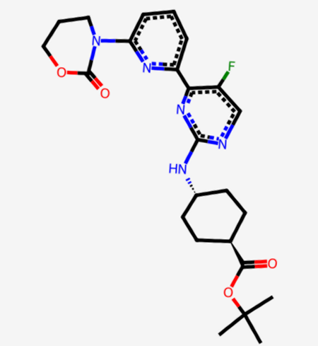 CC(C)(C)OC(=O)[C@H]1CC[C@H](Nc2ncc(F)c(-c3cccc(N4CCCOC4=O)n3)n2)CC1